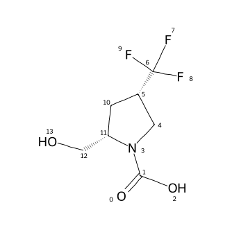 O=C(O)N1C[C@@H](C(F)(F)F)C[C@H]1CO